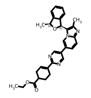 CCOC(=O)C1CC=C(c2ncc(-c3ccc4nc(C)c([C@H]5O[C@@H](C)c6ccccc65)n4c3)cn2)CC1